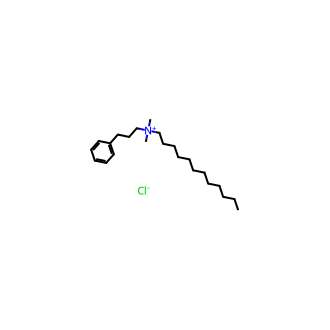 CCCCCCCCCCCC[N+](C)(C)CCCc1ccccc1.[Cl-]